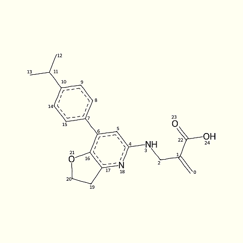 C=C(CNc1cc(-c2ccc(C(C)C)cc2)c2c(n1)CCO2)C(=O)O